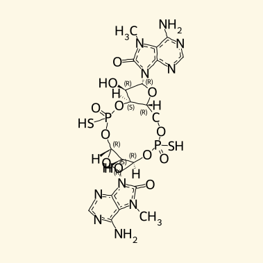 Cn1c(=O)n([C@@H]2O[C@@H]3COP(=O)(S)O[C@@H]4[C@H](O)[C@H](O[C@H]4n4c(=O)n(C)c5c(N)ncnc54)OP(=O)(S)O[C@H]3[C@H]2O)c2ncnc(N)c21